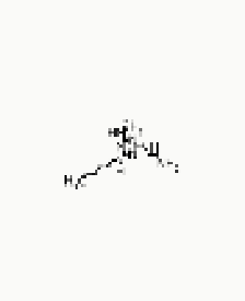 CCCCCCNc1nc(NC)nc(NCCN)n1